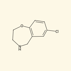 Clc1ccc2c(c1)CNCCO2